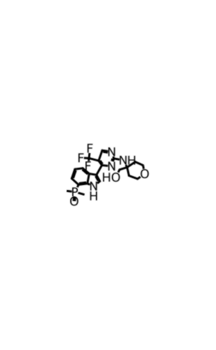 CP(C)(=O)c1cccc2c(-c3nc(NC4(CO)CCOCC4)ncc3C(F)(F)F)c[nH]c12